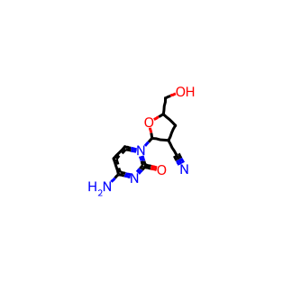 N#CC1CC(CO)OC1n1ccc(N)nc1=O